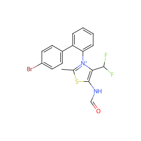 Cc1sc(NC=O)c(C(F)F)[n+]1-c1ccccc1-c1ccc(Br)cc1